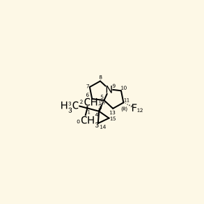 CC(C)(C)C1([C@@]23CCCN2C[C@H](F)C3)CC1